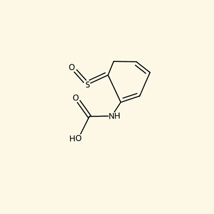 O=S=C1CC=CC=C1NC(=O)O